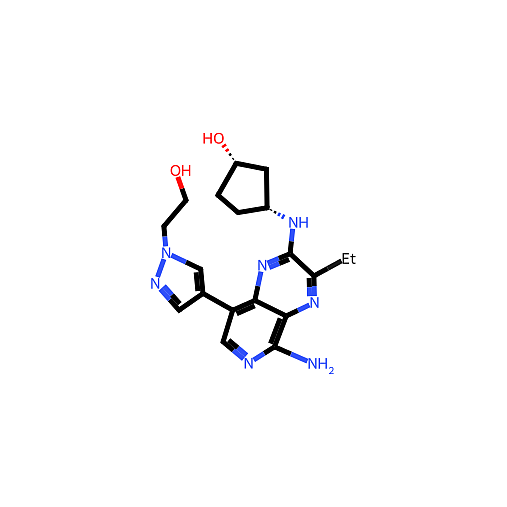 CCc1nc2c(N)ncc(-c3cnn(CCO)c3)c2nc1N[C@@H]1CC[C@H](O)C1